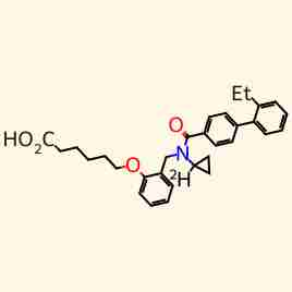 [2H]C1(N(Cc2ccccc2OCCCCCC(=O)O)C(=O)c2ccc(-c3ccccc3CC)cc2)CC1